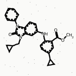 COC(=O)c1cc(C2CC2)ccc1Nc1ccc2c(c1)n(CC1CC1)c(=O)n2-c1ccccc1